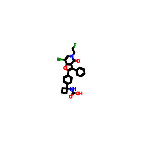 O=C(O)NC1(c2ccc(-c3oc4c(Br)cn(CCF)c(=O)c4c3-c3ccccc3)cc2)CCC1